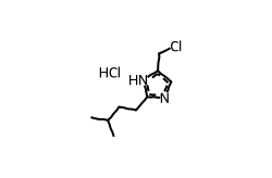 CC(C)CCc1ncc(CCl)[nH]1.Cl